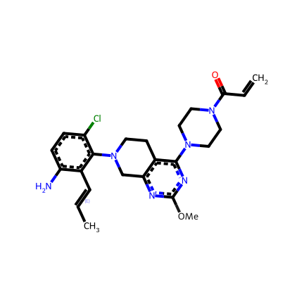 C=CC(=O)N1CCN(c2nc(OC)nc3c2CCN(c2c(Cl)ccc(N)c2/C=C/C)C3)CC1